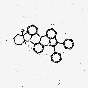 CC12CCCCC1(C)N1c3cccc4c3B(c3cccc2c31)c1cccc2c(-c3ccccc3)c(-c3ccccc3)n-4c12